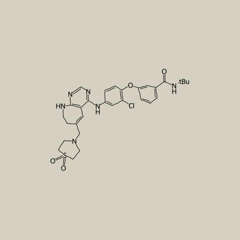 CC(C)(C)NC(=O)c1cccc(Oc2ccc(Nc3ncnc4c3C=C(CN3CCS(=O)(=O)CC3)CCN4)cc2Cl)c1